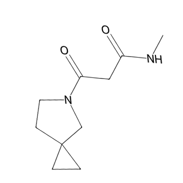 CNC(=O)CC(=O)N1CCC2(CC2)C1